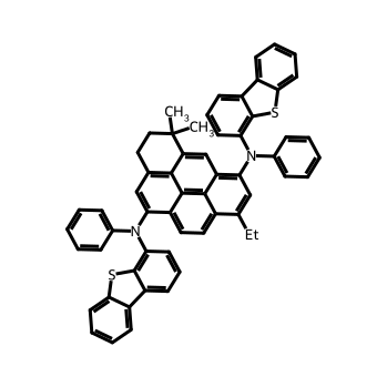 CCc1cc(N(c2ccccc2)c2cccc3c2sc2ccccc23)c2cc3c4c(cc(N(c5ccccc5)c5cccc6c5sc5ccccc56)c5ccc1c2c54)CCC3(C)C